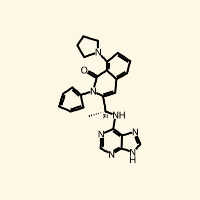 C[C@@H](Nc1ncnc2[nH]cnc12)c1cc2cccc(N3CCCC3)c2c(=O)n1-c1ccccc1